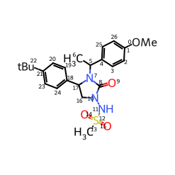 COc1ccc(C(C)N2C(=O)N(NS(C)(=O)=O)CC2c2ccc(C(C)(C)C)cc2)cc1